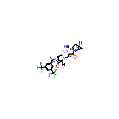 C[C@H](c1cc(C(F)(F)F)cc(C(F)(F)F)c1)N1C(=O)[C@@H]2CC1CN2C[C@H](N)C(=O)N1C2C[C@H]2C[C@H]1C#N